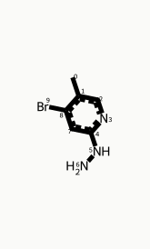 Cc1cnc(NN)cc1Br